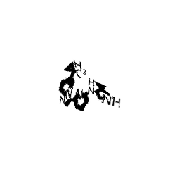 CC1(c2ccc3ncc(-c4cccc(N[C@H]5CNCC56CC6)n4)n3c2)CC1